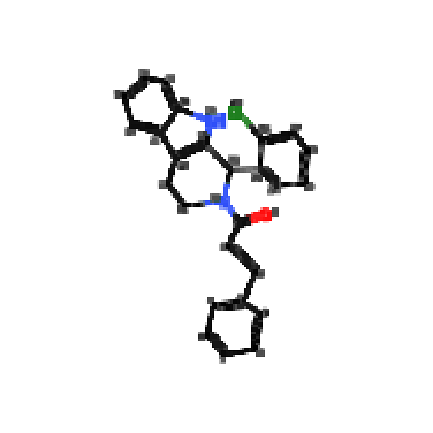 O=C(/C=C/c1ccccc1)N1CCc2c([nH]c3ccccc23)C1c1ccccc1Cl